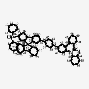 O=P(c1ccccc1)(c1ccccc1)c1ccc2c(c1)C1(c3ccccc3-c3ccccc31)c1cc(-c3ccc(-c4ccc5c(c4)c4ccccc4c4nc6ccccc6n54)cc3)ccc1-2